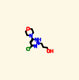 OCCCN1N=C(Cl)C=C(N2CCOCC2)N1